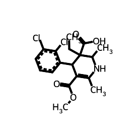 CCC1(C(=O)O)C(C)NC(C)=C(C(=O)OC)C1c1cccc(Cl)c1Cl